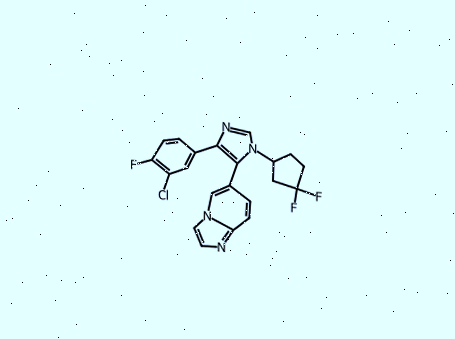 Fc1ccc(-c2ncn(C3CCC(F)(F)C3)c2-c2ccc3nccn3c2)cc1Cl